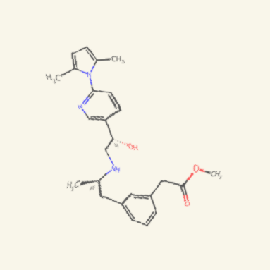 COC(=O)Cc1cccc(C[C@@H](C)NC[C@@H](O)c2ccc(-n3c(C)ccc3C)nc2)c1